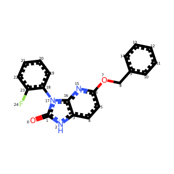 O=c1[nH]c2ccc(OCc3ccccc3)nc2n1-c1ccccc1F